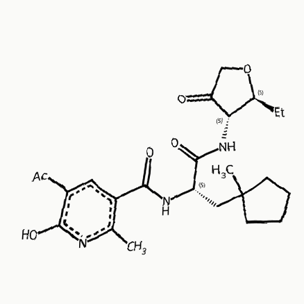 CC[C@@H]1OCC(=O)[C@H]1NC(=O)[C@H](CC1(C)CCCC1)NC(=O)c1cc(C(C)=O)c(O)nc1C